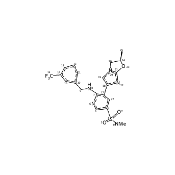 CNS(=O)(=O)c1cnc(NCc2cccc(C(F)(F)F)c2)c(-c2cn3c(n2)O[C@H](C)C3)c1